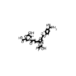 N=C(N)c1ccc(OC(=O)c2ccc(CCC(=O)N(CCC(=O)O)CC(=O)O)o2)cc1.O=C(O)C(F)(F)F